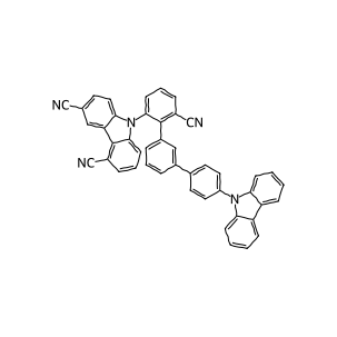 N#Cc1ccc2c(c1)c1c(C#N)cccc1n2-c1cccc(C#N)c1-c1cccc(-c2ccc(-n3c4ccccc4c4ccccc43)cc2)c1